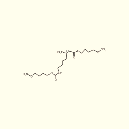 O=C(NCCCCC(NC(=O)OCCCCO[N+](=O)[O-])C(=O)O)OCCCCO[N+](=O)[O-]